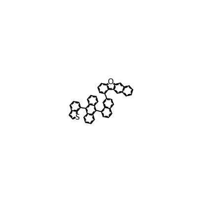 c1ccc2cc3c(cc2c1)oc1cccc(-c2ccc4cccc(-c5c6ccccc6c(-c6cccc7ccsc67)c6ccccc56)c4c2)c13